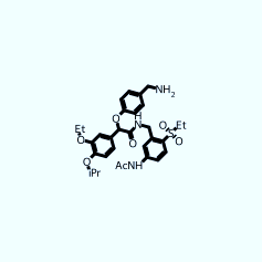 CCOc1cc(C(Oc2ccc(CN)cc2)C(=O)NCc2cc(NC(C)=O)ccc2S(=O)(=O)CC)ccc1OC(C)C